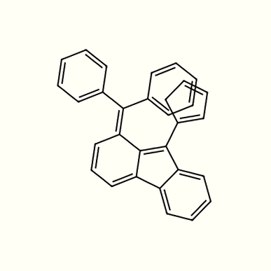 C1=CCC(C2=c3c(cccc3=C(c3ccccc3)c3ccccc3)-c3ccccc32)=C1